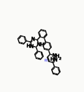 N=C(/C=C\C(N)c1ccc(-c2ccccc2C2N=C(c3ccccc3)NC(c3ccccc3)N2)cc1)c1ccccc1